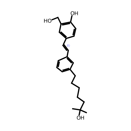 CC(C)(O)CCCCCc1cccc(/C=C/c2ccc(O)c(CO)c2)c1